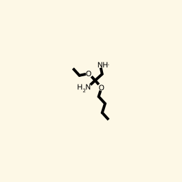 CCCCOC(N)(C[NH])OCC